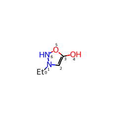 CCN1C=C(O)ON1